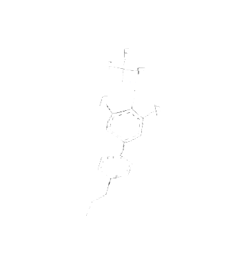 CCCc1ccc(-c2cc(F)c(/C=C/C(F)(F)F)c(F)c2)cc1